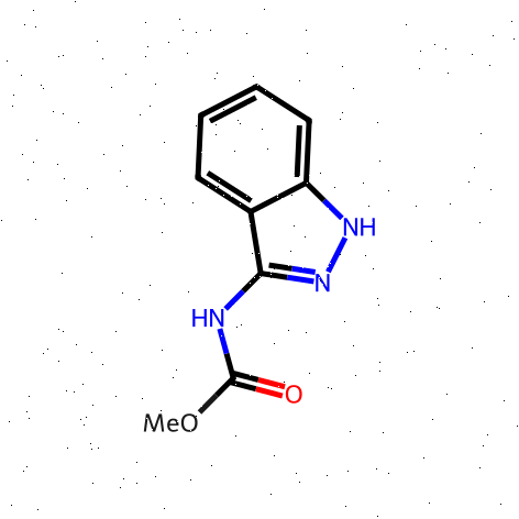 COC(=O)Nc1n[nH]c2ccccc12